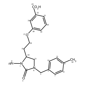 CCCN1C(=O)N(Cc2ccc(C)cc2)CC1CCOc1cccc(C(=O)O)c1